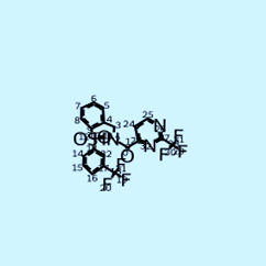 O=C(NCc1ccccc1S(=O)(=O)c1cccc(C(F)(F)F)c1)c1ccnc(C(F)(F)F)n1